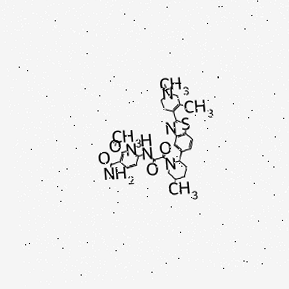 COc1nc(NC(=O)C(=O)N2C[C@@H](C)CC[C@@H]2c2ccc3sc(C4=C(C)CN(C)CC4)nc3c2)ccc1C(N)=O